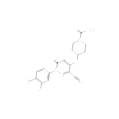 N#Cc1nn(-c2ccc(Cl)c(Cl)c2)c(=O)cc1OC1CCN(C(=O)O)CC1